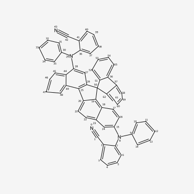 N#Cc1ccccc1N(c1ccccc1)c1ccc2c3c(ccc2c1)-c1c(cc(N(c2ccccc2)c2ccccc2C#N)c2ccccc12)C31c2ccccc2-c2ccccc21